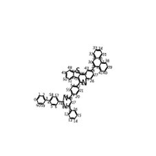 c1ccc(-c2ccc(-c3nc(-c4ccccc4)cc(-c4ccc(-c5nc6ccc(-c7cc8ccccc8c8ccccc78)cc6c6sc7ccccc7c56)cc4)n3)cc2)cc1